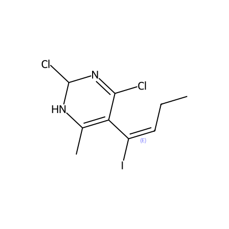 CC/C=C(/I)C1=C(C)NC(Cl)N=C1Cl